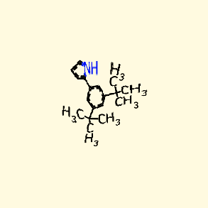 CC(C)(C)c1cc(-c2ccc[nH]2)cc(C(C)(C)C)c1